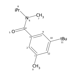 Cc1cc(C(=O)N(C)C(C)C)cc(C(C)(C)C)c1